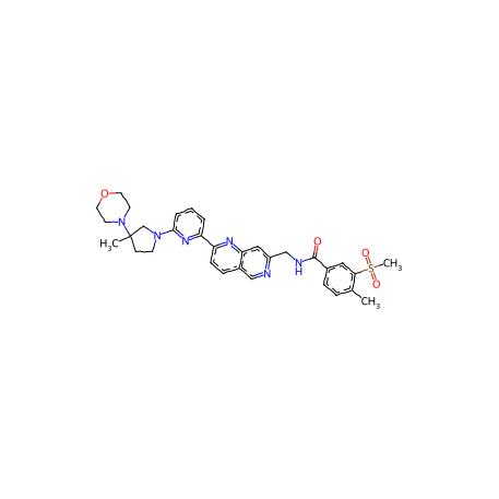 Cc1ccc(C(=O)NCc2cc3nc(-c4cccc(N5CCC(C)(N6CCOCC6)C5)n4)ccc3cn2)cc1S(C)(=O)=O